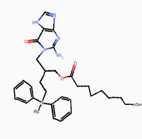 CCCCCCCCCCCCCCCCCC(=O)OCC(CC[Si](c1ccccc1)(c1ccccc1)C(C)(C)C)Cn1c(N)nc2nc[nH]c2c1=O